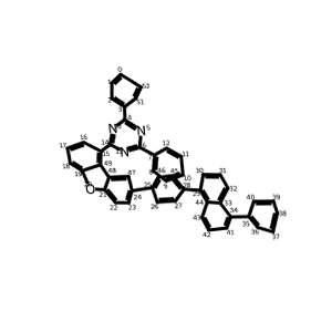 c1ccc(-c2nc(-c3ccccc3)nc(-c3cccc4oc5ccc(-c6ccc(-c7cccc8c(-c9ccccc9)cccc78)cc6)cc5c34)n2)cc1